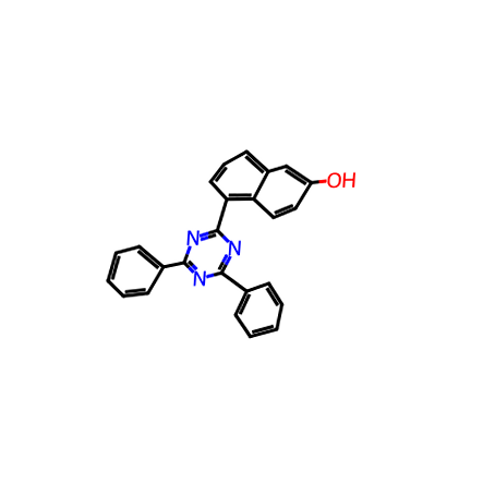 Oc1ccc2c(-c3nc(-c4ccccc4)nc(-c4ccccc4)n3)cccc2c1